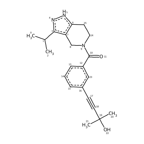 CC(C)c1n[nH]c2c1CN(C(=O)c1cccc(C#CC(C)(C)O)c1)CC2